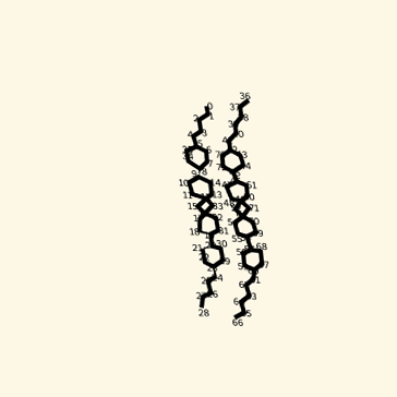 CCCCCC1CCC([C@H]2CCC3(CC2)CC2(CC[C@H]([C@H]4CC[C@H](CCCCC)CC4)CC2)C3)CC1.CCCCCCC1CCC(C2CCC3(CC2)CC2(CCC(C4CCC(CCCCCC)CC4)CC2)C3)CC1